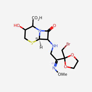 CO/N=C(/CNC1C(=O)N2C(C(=O)O)C(O)CS[C@H]12)C1(CBr)OCCO1